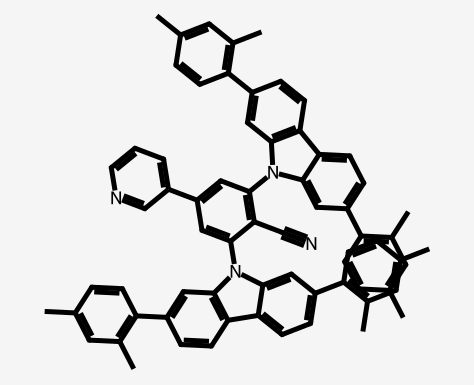 Cc1ccc(-c2ccc3c4ccc(-c5ccc(C)cc5C)cc4n(-c4cc(-c5cccnc5)cc(-n5c6cc(-c7ccc(C)cc7C)ccc6c6ccc(-c7ccc(C)cc7C)cc65)c4C#N)c3c2)c(C)c1